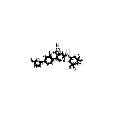 Cc1ncc(-c2ccc(-c3cnc(NC4CC(C)(C)NC(C)(C)C4)nn3)c(O)c2)o1.Cl